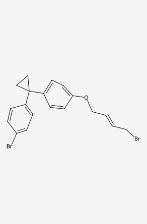 BrC/C=C/COc1ccc(C2(c3ccc(Br)cc3)CC2)cc1